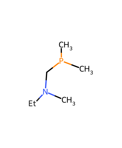 CCN(C)CP(C)C